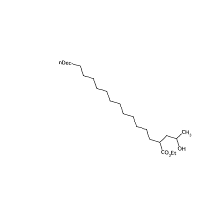 CCCCCCCCCCCCCCCCCCCCCCC(CC(C)O)C(=O)OCC